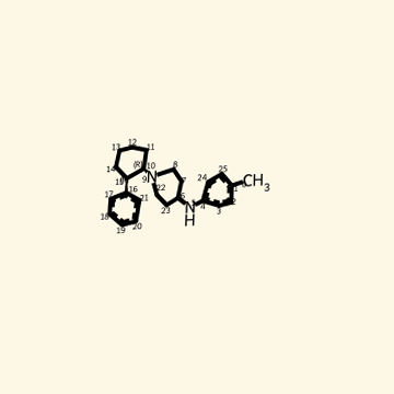 Cc1ccc(NC2CCN([C@@H]3CCCC[C@@H]3c3ccccc3)CC2)cc1